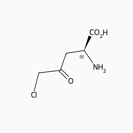 N[C@@H](CC(=O)CCl)C(=O)O